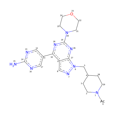 CC(=O)N1CCC(Cn2ncc3c(-c4cnc(N)nc4)nc(N4CCOCC4)nc32)CC1